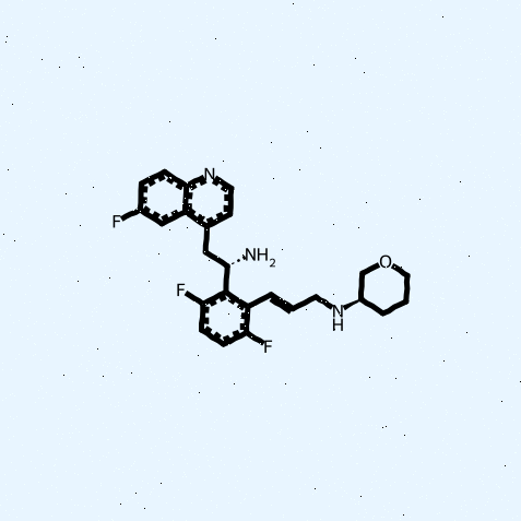 N[C@@H](Cc1ccnc2ccc(F)cc12)c1c(F)ccc(F)c1/C=C/CN[C@@H]1CCCOC1